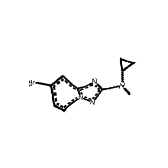 CN(c1nc2cc(Br)ccn2n1)C1CC1